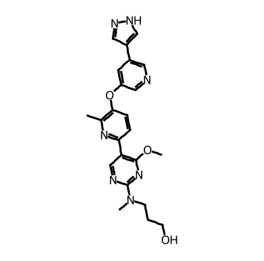 COc1nc(N(C)CCCO)ncc1-c1ccc(Oc2cncc(-c3cn[nH]c3)c2)c(C)n1